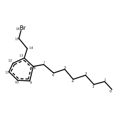 CCCCCCCCc1ccccc1CCBr